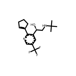 CC(C)(C)NC[C@H](O)c1cc(C(F)(F)F)cnc1C1=CCCC1